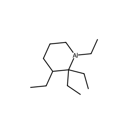 CCC1CC[CH2][Al]([CH2]C)[C]1(CC)CC